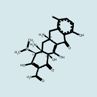 CN(C)[C@@H]1C(O)=C(C(N)=O)C(=O)[C@@]2(O)C(O)=C3C(=O)c4c(O)ccc(I)c4C[C@@]3(N)C[C@@]12N